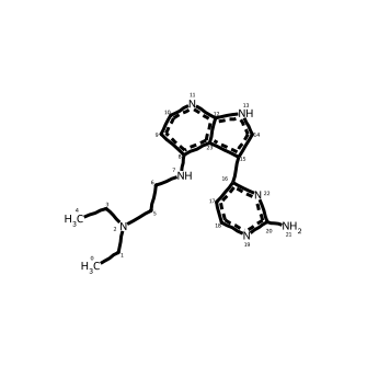 CCN(CC)CCNc1ccnc2[nH]cc(-c3ccnc(N)n3)c12